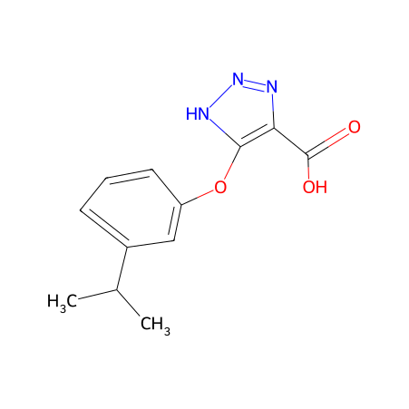 CC(C)c1cccc(Oc2[nH]nnc2C(=O)O)c1